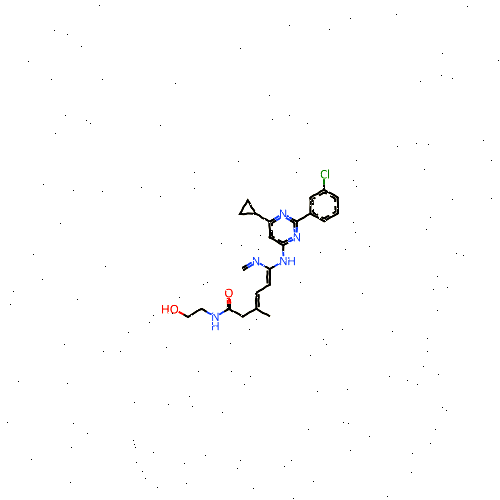 C=N/C(=C\C=C(/C)CC(=O)NCCO)Nc1cc(C2CC2)nc(-c2cccc(Cl)c2)n1